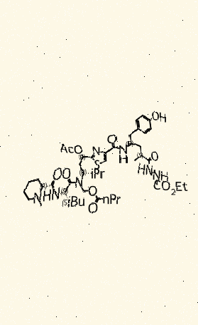 CCCC(=O)OCN(C(=O)[C@@H](NC(=O)[C@H]1CCCCN1C)[C@@H](C)CC)[C@H](C[C@@H](OC(C)=O)c1nc(C(=O)N[C@@H](Cc2ccc(O)cc2)C[C@H](C)C(=O)NNC(=O)OCC)cs1)C(C)C